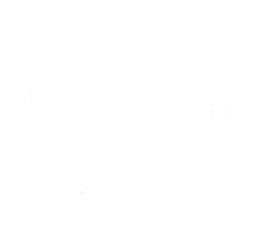 CCCc1coc([P])c1CCC